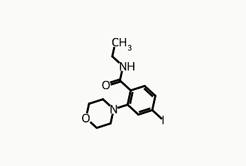 CCNC(=O)c1ccc(I)cc1N1CCOCC1